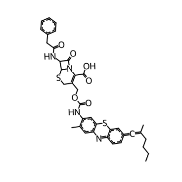 CCCCC(C)=C=c1ccc2c(c1)Sc1cc(NC(=O)OCC3=C(C(=O)O)N4C(=O)C(NC(=O)Cc5ccccc5)C4SC3)c(C)cc1N=2